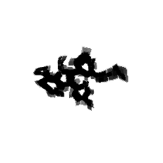 CC(=O)Nc1cc(-c2[nH]c3c(Cl)ccnc3c2-c2ccc(F)cn2)ccn1